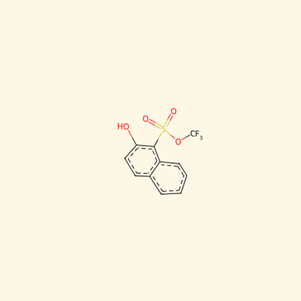 O=S(=O)(OC(F)(F)F)c1c(O)ccc2ccccc12